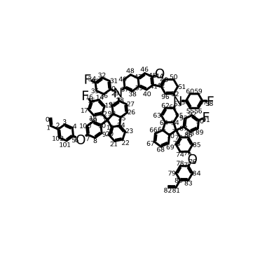 C=Cc1ccc(Oc2ccc(C3(c4ccc(F)cc4)c4ccccc4C4C=CC(N(C5=CC=C(F)CC5)C5=Cc6cc7c8c(oc7cc6CC5)CCC(N(C5=CC=C(F)CC5)C5C=CC6C7C=CC=CC7C(C7=CCC(Oc9ccc(C=C)cc9)C=C7)(c7ccc(F)cc7)C6C5)=C8)=CC43)cc2)cc1